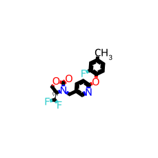 Cc1ccc(Oc2ccc(CN3C(=O)OC[C@H]3C(F)F)cn2)c(F)c1